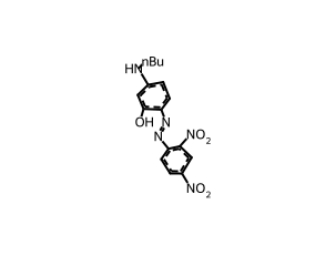 CCCCNc1ccc(N=Nc2ccc([N+](=O)[O-])cc2[N+](=O)[O-])c(O)c1